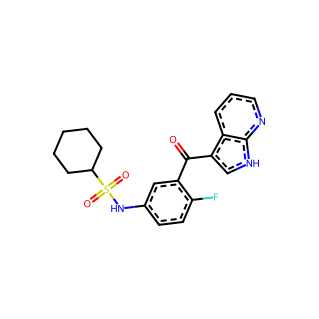 O=C(c1cc(NS(=O)(=O)C2CCCCC2)ccc1F)c1c[nH]c2ncccc12